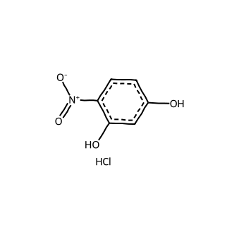 Cl.O=[N+]([O-])c1ccc(O)cc1O